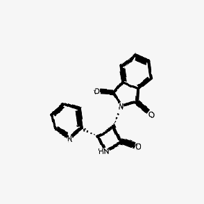 O=C1N[C@H](c2ccccn2)[C@@H]1N1C(=O)c2ccccc2C1=O